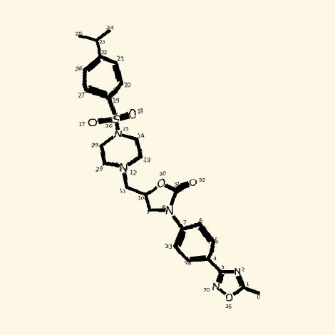 Cc1nc(-c2ccc(N3CC(CN4CCN(S(=O)(=O)c5ccc(C(C)C)cc5)CC4)OC3=O)cc2)no1